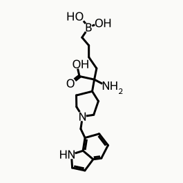 NC(CCCCB(O)O)(C(=O)O)C1CCN(Cc2cccc3cc[nH]c23)CC1